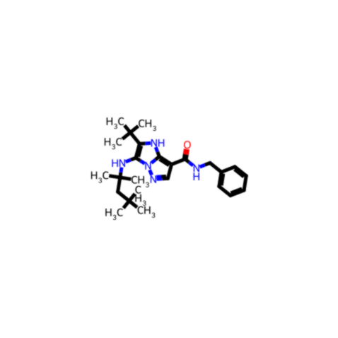 CC(C)(C)CC(C)(C)Nc1c(C(C)(C)C)[nH]c2c(C(=O)NCc3ccccc3)cnn12